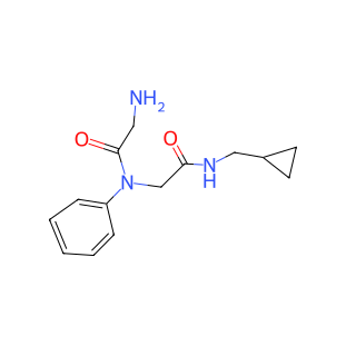 NCC(=O)N(CC(=O)NCC1CC1)c1ccccc1